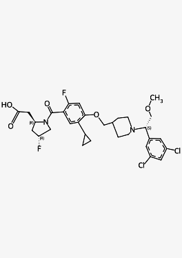 COC[C@H](c1cc(Cl)cc(Cl)c1)N1CCC(COc2cc(F)c(C(=O)N3C[C@H](F)C[C@H]3CC(=O)O)cc2C2CC2)CC1